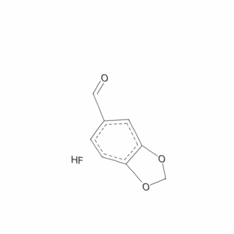 F.O=Cc1ccc2c(c1)OCO2